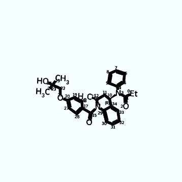 CCC(=O)N(c1ccccc1)[C@@H]1C[C@H](C)N(C(=O)c2ccc(OCC(C)(C)O)cc2)c2ccccc21